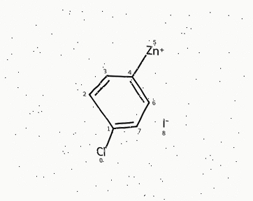 Clc1cc[c]([Zn+])cc1.[I-]